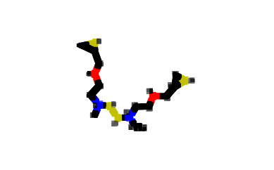 CN(CCOCC1CS1)SSN(CCOCC1CS1)C(C)(C)C